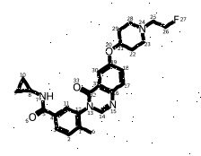 Cc1ccc(C(=O)NC2CC2)cc1-n1cnc2ccc(OC3CCN(CCF)CC3)cc2c1=O